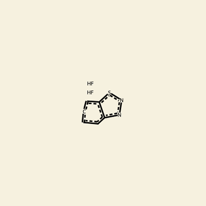 F.F.c1ccc2snnc2c1